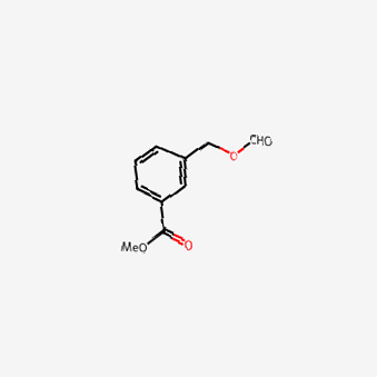 COC(=O)c1cccc(COC=O)c1